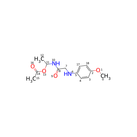 COc1ccc(NCC(=O)NC(C)OC(C)=O)cc1